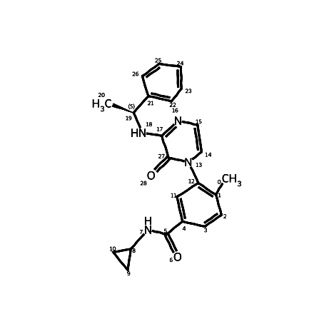 Cc1ccc(C(=O)NC2CC2)cc1-n1ccnc(N[C@@H](C)c2ccccc2)c1=O